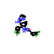 O=C(/N=C(/NCc1cccc(C(F)(F)F)c1)N[C@H]1CC[C@H](Nc2ncccn2)CC1)c1ccc(F)c(F)c1